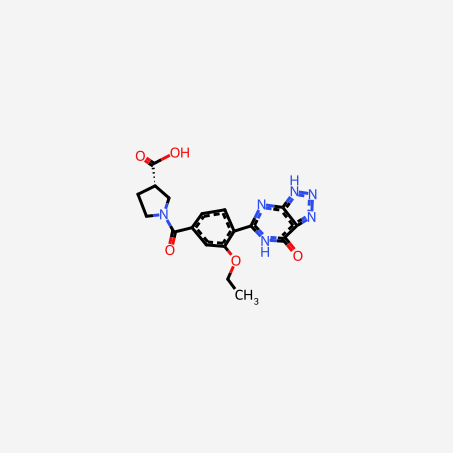 CCOc1cc(C(=O)N2CC[C@H](C(=O)O)C2)ccc1-c1nc2[nH]nnc2c(=O)[nH]1